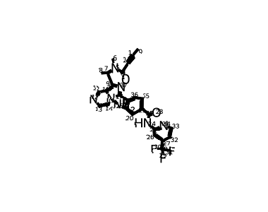 CC#CC(=O)N(C)C(C)C1=C2C=NC=C[N+]2(N)C(c2ccc(C(=O)Nc3cc(C(F)(F)F)ccn3)cc2)=N1